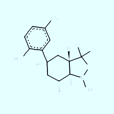 Cc1ccc(C#N)cc1[C@]1(C)C[C@@H](C)[C@H]2[C@H](C1)C(C)(C)ON2C